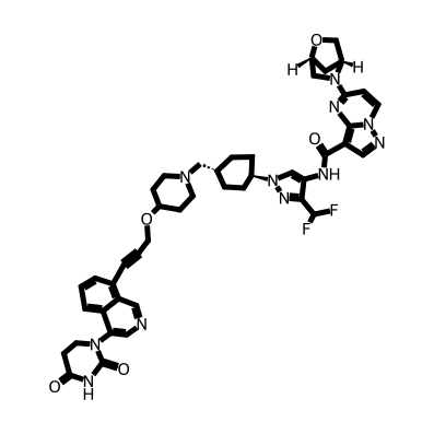 O=C1CCN(c2cncc3c(C#CCOC4CCN(C[C@H]5CC[C@H](n6cc(NC(=O)c7cnn8ccc(N9C[C@H]%10C[C@@H]9CO%10)nc78)c(C(F)F)n6)CC5)CC4)cccc23)C(=O)N1